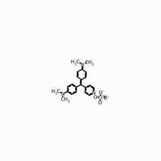 CN(C)c1ccc(C(=C2C=CC(=[N+](C)C)C=C2)c2ccncc2)cc1.[O-][Cl+3]([O-])([O-])[O-]